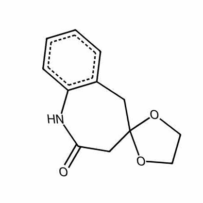 O=C1CC2(Cc3ccccc3N1)OCCO2